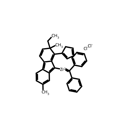 CCC1(C)C=CC2=c3ccc(C)cc3=[C]([Zr+2]=[C](c3ccccc3)c3ccccc3)C2=C1C1=CC=CC1.[Cl-].[Cl-]